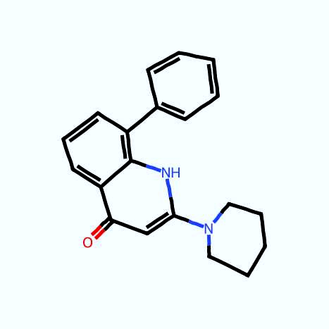 O=c1cc(N2CCCCC2)[nH]c2c(-c3ccccc3)cccc12